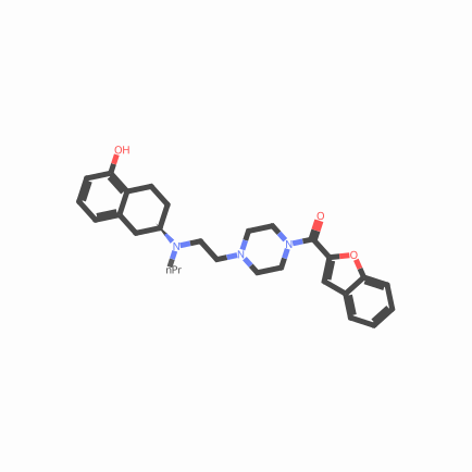 CCCN(CCN1CCN(C(=O)c2cc3ccccc3o2)CC1)[C@@H]1CCc2c(O)cccc2C1